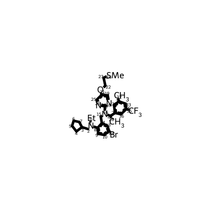 CCN(CC1CCCC1)c1ccc(Br)cc1CN(c1ncc(OCCSC)cn1)C(C)c1cc(C)cc(C(F)(F)F)c1